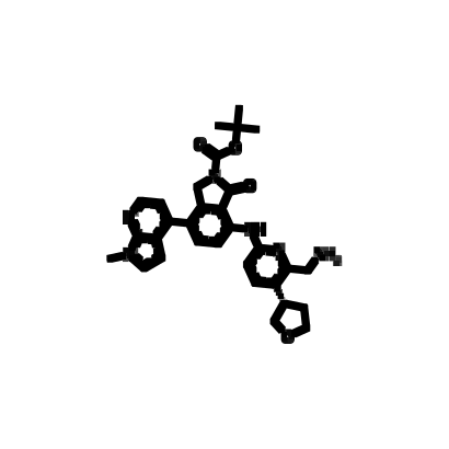 Cn1ccc2c(-c3ccc(Nc4ccc([C@@H]5CCOC5)c(CN)n4)c4c3CN(C(=O)OC(C)(C)C)C4=O)ccnc21